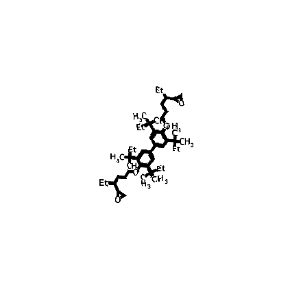 CCC(CCCOc1c(C(C)(C)CC)cc(-c2cc(C(C)(C)CC)c(OCCCC(CC)C3CO3)c(C(C)(C)CC)c2)cc1C(C)(C)CC)C1CO1